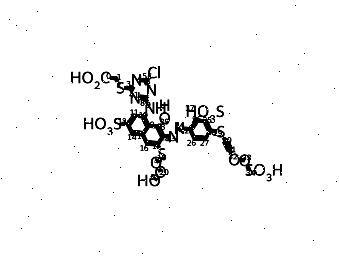 O=C(O)CSc1nc(Cl)nc(Nc2cc(S(=O)(=O)O)cc3cc(SOOO)c(N=Nc4ccc(SC#COOS(=O)(=O)O)cc4S(=O)(=O)O)c(O)c23)n1